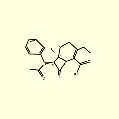 CC(=O)N(c1ccccc1)[C@@H]1C(=O)N2C(C(=O)O)=C(CCl)CS[C@H]12